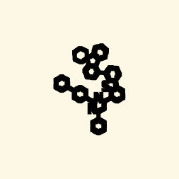 c1ccc(-c2ccc(-c3nc(-c4ccccc4)cc(-c4cccc5c4sc4c(-c6cccc7c6-c6ccccc6C76CCCCC6)cccc45)n3)cc2)cc1